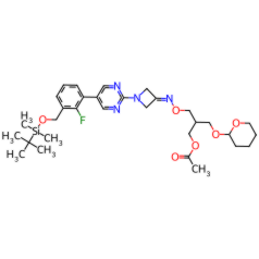 CC(=O)OCC(CON=C1CN(c2ncc(-c3cccc(CO[Si](C)(C)C(C)(C)C)c3F)cn2)C1)COC1CCCCO1